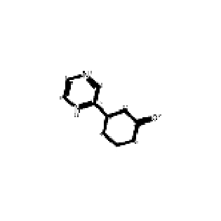 O=C1CCCC(c2cnccn2)C1